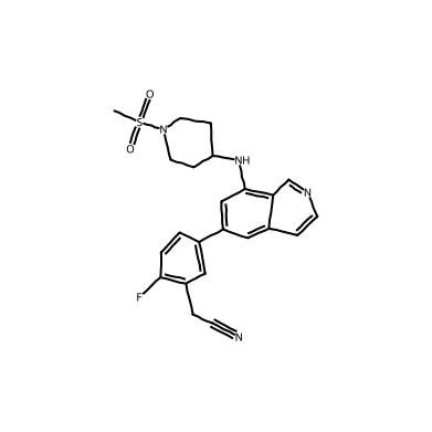 CS(=O)(=O)N1CCC(Nc2cc(-c3ccc(F)c(CC#N)c3)cc3ccncc23)CC1